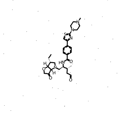 CC[C@@H]1CN(C[C@@H](NC(=O)c2ccc(-c3csc(N4CCN(C)CC4)n3)cc2)[C@H](C)CC=O)[C@@H]2C(=O)CO[C@H]12